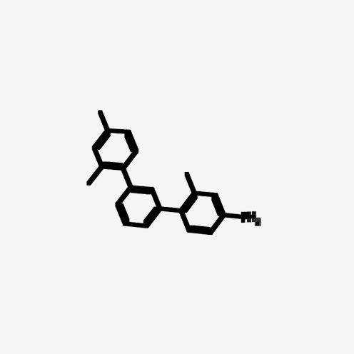 Cc1ccc(-c2cccc(-c3ccc(P)cc3C)c2)c(C)c1